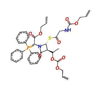 C=CCOC(=O)NCC(=O)S[C@@H]1[C@@H](C(C)OC(=O)OCC=C)C(=O)N1C(C(=O)OCC=C)=P(c1ccccc1)(c1ccccc1)c1ccccc1